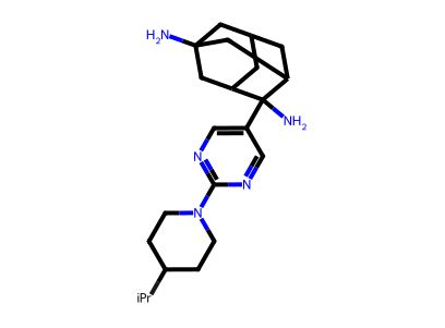 CC(C)C1CCN(c2ncc(C3(N)C4CC5CC3CC(N)(C5)C4)cn2)CC1